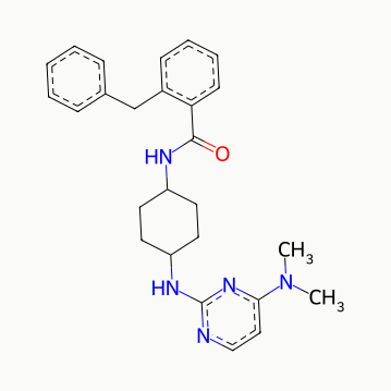 CN(C)c1ccnc(NC2CCC(NC(=O)c3ccccc3Cc3ccccc3)CC2)n1